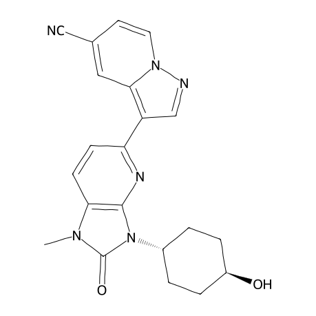 Cn1c(=O)n([C@H]2CC[C@H](O)CC2)c2nc(-c3cnn4ccc(C#N)cc34)ccc21